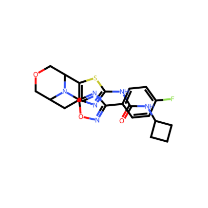 O=C(Nc1nc2c(s1)C1COCC(C2)N1c1nc(-c2ccc(F)cc2)no1)NC1CCC1